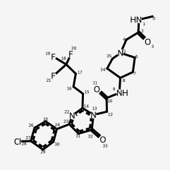 CNC(=O)CN1CCC(NC(=O)Cn2c(CCCC(F)(F)F)nc(-c3ccc(Cl)cc3)cc2=O)CC1